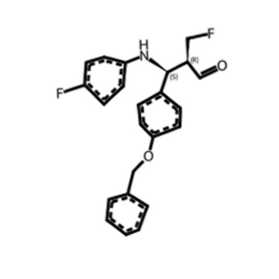 O=C[C@H](CF)[C@H](Nc1ccc(F)cc1)c1ccc(OCc2ccccc2)cc1